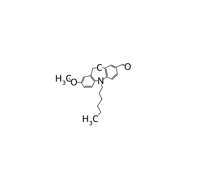 CCCCCCN1c2ccc(C=O)cc2CCc2cc(OC)ccc21